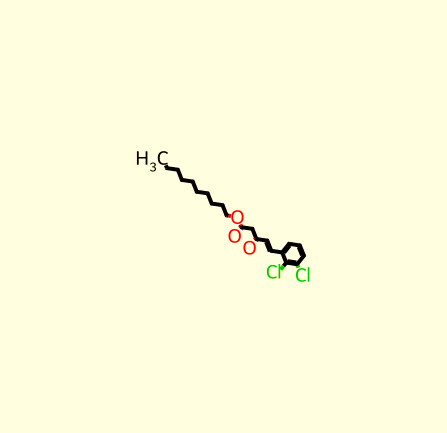 CCCCCCCCCCOC(=O)CC(=O)C=Cc1cccc(Cl)c1Cl